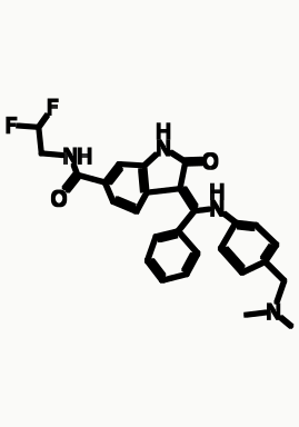 CN(C)Cc1ccc(N/C(=C2\C(=O)Nc3cc(C(=O)NCC(F)F)ccc32)c2ccccc2)cc1